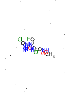 COC(=O)Nc1ccc(-c2cc(C(Cc3cccc(F)c3)NC(=O)/C=C/c3cc(Cl)ccc3-n3cnnn3)nnc2Cl)cc1